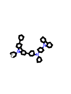 c1ccc(-c2ccc3c(c2)c2cc(-c4ccc(N(c5ccccc5)c5ccc(-n6c7ccccc7c7ccccc76)cc5)cc4)ccc2n3-c2ccccc2)cc1